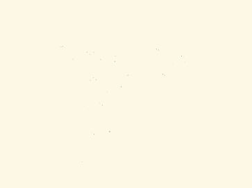 CS(=O)(=O)N1CCN(c2nc(-c3cnc(N)nc3)nc(N3CCOCC3)n2)CC1